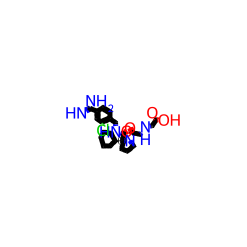 N=C(N)c1ccc(CNC(=O)[C@]2(C3CCCCC3)CCCN2C(=O)CNCC(=O)O)c(Cl)c1